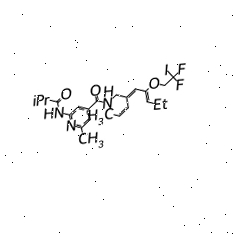 C\C=C/C(=C\C(=C\CC)OCC(F)(F)I)CNC(=O)c1cc(C)nc(NC(=O)C(C)C)c1